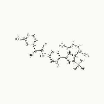 [2H]C([2H])([2H])c1nc(-c2ccc(NC(=O)C(O)c3cccc(C)c3)cc2F)c2c(N)ncc(C)n12